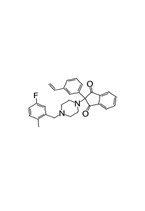 C=Cc1cccc(C2(N3CCN(Cc4cc(F)ccc4C)CC3)C(=O)c3ccccc3C2=O)c1